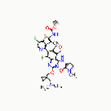 CN(C)CC1(COc2nc(N[C@@H]3CCN(C)C3=O)c3c4c(c(-c5ncc(F)c6sc(NC(=O)OC(C)(C)C)c(C#N)c56)c(F)c3n2)COC4)CC1